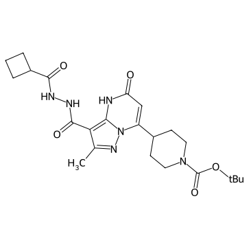 Cc1nn2c(C3CCN(C(=O)OC(C)(C)C)CC3)cc(=O)[nH]c2c1C(=O)NNC(=O)C1CCC1